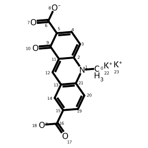 Cn1c2ccc(C(=O)[O-])c(=O)c-2cc2cc(C(=O)[O-])ccc21.[K+].[K+]